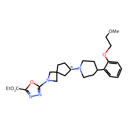 CCOC(=O)c1nnc(N2CC3(CC[C@@H](N4CCC(c5ccccc5OCCOC)CC4)C3)C2)o1